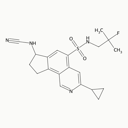 CC(C)(F)CNS(=O)(=O)c1cc2c(c3cnc(C4CC4)cc13)CCC2NC#N